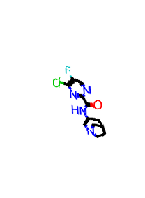 O=C(NC1CC2CCN(C2)C1)c1ncc(F)c(Cl)n1